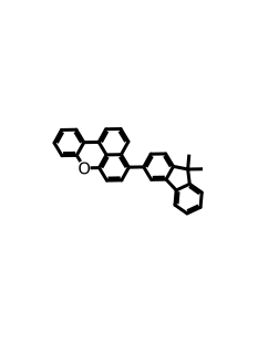 CC1(C)c2ccccc2-c2cc(-c3ccc4c5c(cccc35)-c3ccccc3O4)ccc21